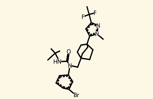 Cn1nc(C(C)(F)F)cc1C12CCC(CN(C(=O)NC(C)(C)C)c3cccc(Br)c3)(CC1)CC2